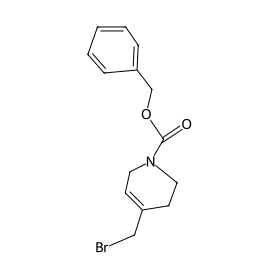 O=C(OCc1ccccc1)N1CC=C(CBr)CC1